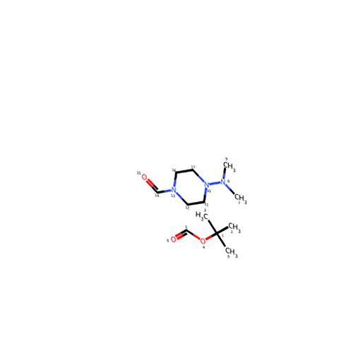 CC(C)(C)OC=O.CN(C)N1CCN(C=O)CC1